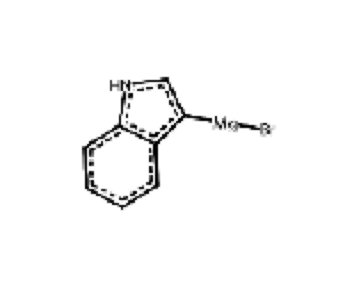 [Br][Mg][c]1c[nH]c2ccccc12